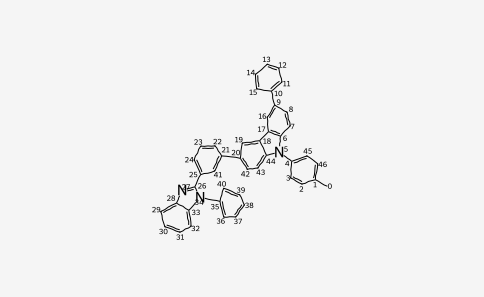 Cc1ccc(-n2c3ccc(-c4ccccc4)cc3c3cc(-c4cccc(-c5nc6ccccc6n5-c5ccccc5)c4)ccc32)cc1